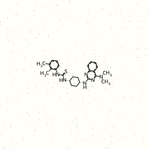 Cc1cccc(NC(=S)N[C@H]2CC[C@@H](Nc3nc(N(C)C)c4ccccc4n3)CC2)c1C